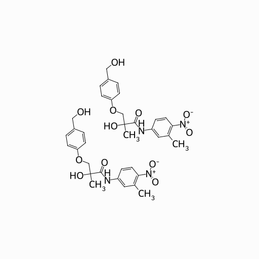 Cc1cc(NC(=O)C(C)(O)COc2ccc(CO)cc2)ccc1[N+](=O)[O-].Cc1cc(NC(=O)C(C)(O)COc2ccc(CO)cc2)ccc1[N+](=O)[O-]